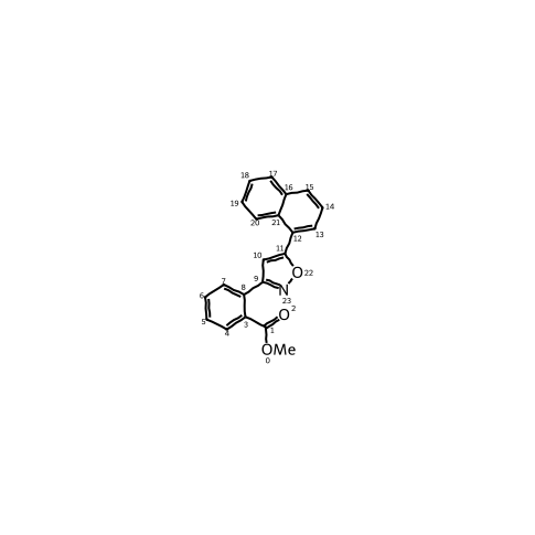 COC(=O)c1ccccc1-c1cc(-c2cccc3ccccc23)on1